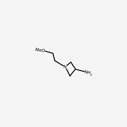 COCCN1CC(N)C1